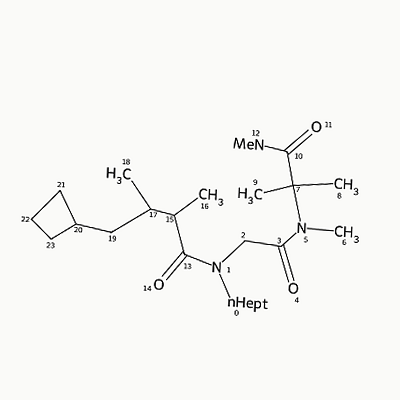 CCCCCCCN(CC(=O)N(C)C(C)(C)C(=O)NC)C(=O)C(C)C(C)CC1CCC1